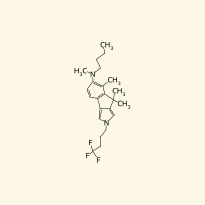 CCCCN(C)c1ccc2c(c1C)C(C)(C)c1cn(CCCC(F)(F)F)cc1-2